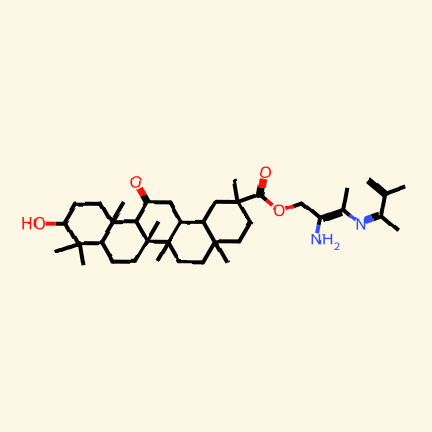 C=C(C)/C(C)=N\C(C)=C(/N)COC(=O)C1(C)CCC2(C)CCC3(C)C(CC(=O)C4C5(C)CCC(O)C(C)(C)C5CCC43C)C2C1